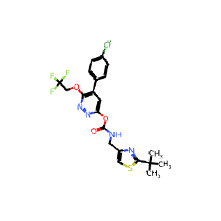 CC(C)(C)c1nc(CNC(=O)Oc2cc(-c3ccc(Cl)cc3)c(OCC(F)(F)F)nn2)cs1